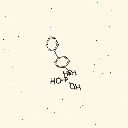 O[PH](O)=[SH]c1ccc(-c2ccccc2)cc1